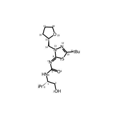 CC(C)[C@@H](CO)NC(=O)/N=c1\sc(C(C)(C)C)nn1C[C@H]1CCCO1